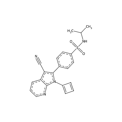 CC(C)NS(=O)(=O)c1ccc(-c2c(C#N)c3cccnc3n2C2=CC=C2)cc1